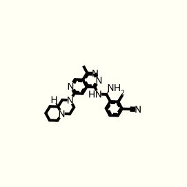 Cc1c(C#N)cccc1[C@@H](N)Nc1nnc(C)c2cnc(N3CCN4CCCC[C@@H]4C3)cc12